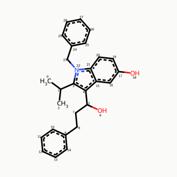 CC(C)c1c(C(O)CCc2ccccc2)c2cc(O)ccc2n1Cc1ccccc1